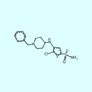 NS(=O)(=O)c1cc(NC2CCN(Cc3ccccc3)CC2)c(Cl)s1